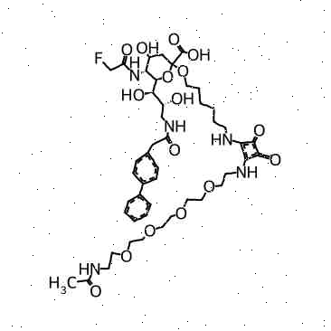 CC(=O)NCCOCCOCCOCCOCCNc1c(NCCCCCCO[C@]2(C(=O)O)C[C@H](O)[C@@H](NC(=O)CF)[C@H]([C@H](O)[C@H](O)CNC(=O)Cc3ccc(-c4ccccc4)cc3)O2)c(=O)c1=O